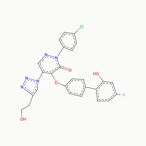 O=c1c(Oc2ccc(-c3ccc(F)cc3O)cc2)c(-n2cc(CCO)nn2)cnn1-c1ccc(Cl)cc1